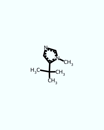 Cn1cncc1C(C)(C)C